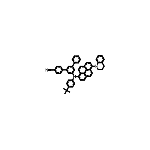 CC(C)(C)c1ccc(N(c2cc(-c3ccccc3)cc(-c3ccc(C#N)cc3)c2)c2ccc3ccc4c(N5CCCc6ccccc65)ccc5ccc2c3c54)cc1